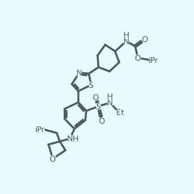 CCNS(=O)(=O)c1cc(NC2(CC(C)C)COC2)ccc1-c1cnc(C2CCC(NC(=O)OC(C)C)CC2)s1